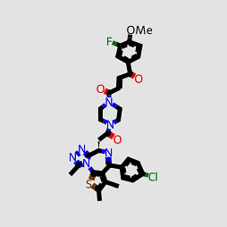 COc1ccc(C(=O)/C=C/C(=O)N2CCN(C(=O)C[C@@H]3N=C(c4ccc(Cl)cc4)c4c(sc(C)c4C)-n4c(C)nnc43)CC2)cc1F